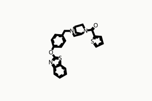 O=C(c1cccs1)N1CC2CC1CN2Cc1ccc(Oc2nc3ccccc3s2)cc1